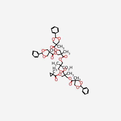 CC(COC(=O)C(C)(COC(=O)C1(C)CC1)COC(=O)C1(C)COC(c2ccccc2)OC1)(COC(=O)C(C)(COC(=O)C1(C)COC(c2ccccc2)OC1)COC(=O)C1(C)COC(c2ccccc2)OC1)C(=O)O